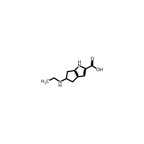 CCNC1Cc2cc(C(=O)O)[nH]c2C1